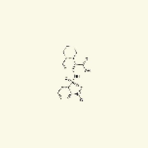 O=C(O)c1c(NS(=O)(=O)c2ccccc2[N+](=O)[O-])ccc2c1CCCC2